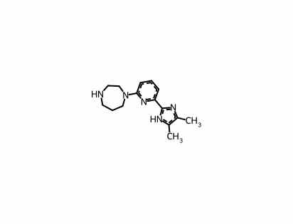 Cc1nc(-c2cccc(N3CCCNCC3)n2)[nH]c1C